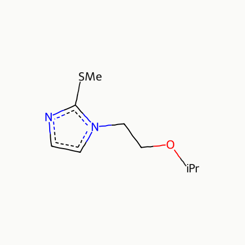 CSc1nccn1CCOC(C)C